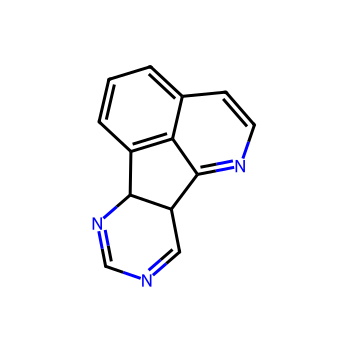 C1=NC=NC2c3cccc4ccnc(c34)C12